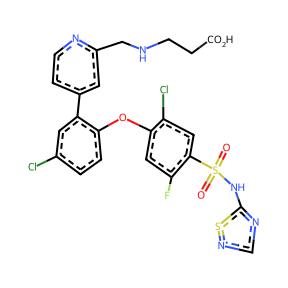 O=C(O)CCNCc1cc(-c2cc(Cl)ccc2Oc2cc(F)c(S(=O)(=O)Nc3ncns3)cc2Cl)ccn1